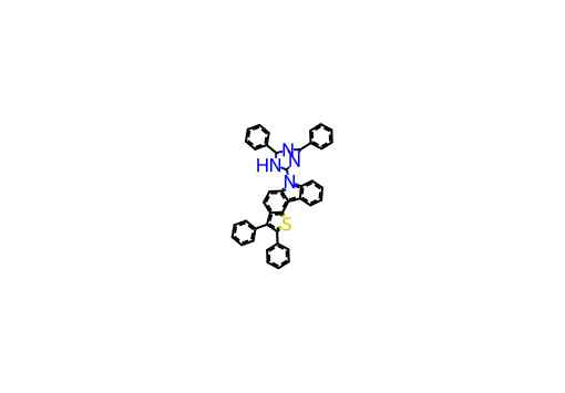 c1ccc(-c2sc3c(ccc4c3c3ccccc3n4C3NC(c4ccccc4)N4C(c5ccccc5)N34)c2-c2ccccc2)cc1